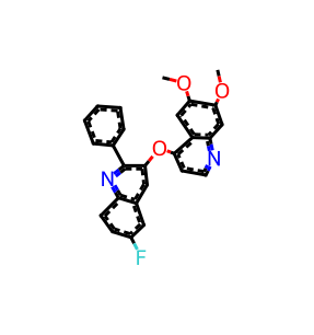 COc1cc2nccc(Oc3cc4cc(F)ccc4nc3-c3ccccc3)c2cc1OC